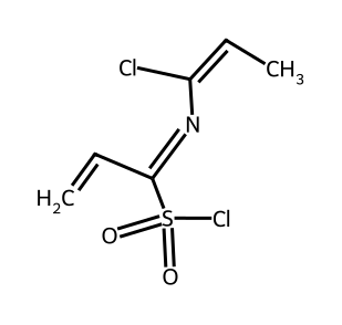 C=C/C(=N\C(Cl)=C/C)S(=O)(=O)Cl